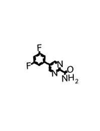 NC(=O)c1ncc(-c2cc(F)cc(F)c2)cn1